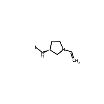 C=CN1CC[C@H](NI)C1